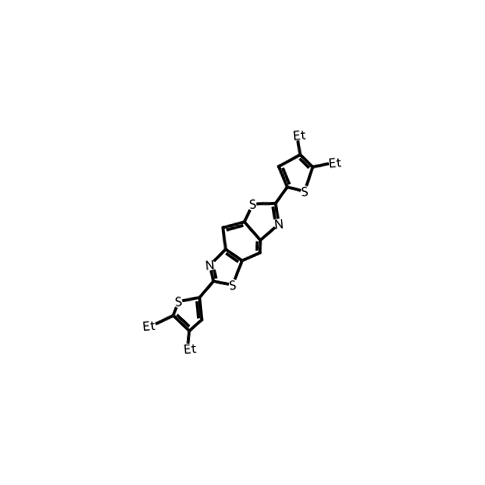 CCc1cc(-c2nc3cc4sc(-c5cc(CC)c(CC)s5)nc4cc3s2)sc1CC